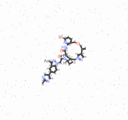 C=C1COCc2ccc(Br)nc2NC(=O)[C@@H]2C[C@]3(CC[C@H]3N2C(=O)Cn2nc(C(C)=O)c3cc(-c4cnc(C)nc4)ccc32)Cn2cc1cn2